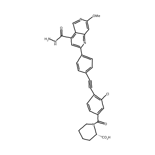 COc1cc2nc(-c3ccc(C#Cc4ccc(C(=O)N5CCCC[C@H]5C(=O)O)cc4Cl)cc3)cc(C(=O)NN)c2cn1